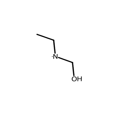 CC[N]CO